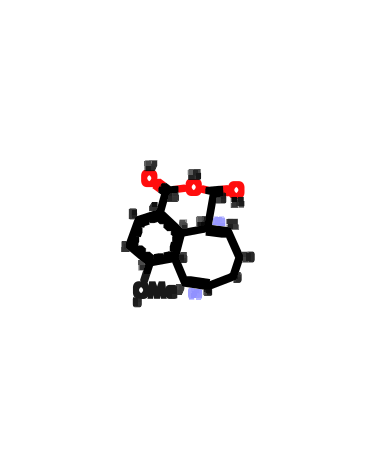 COc1ccc2c3c1/C=C\CC/C=C\3C(=O)OC2=O